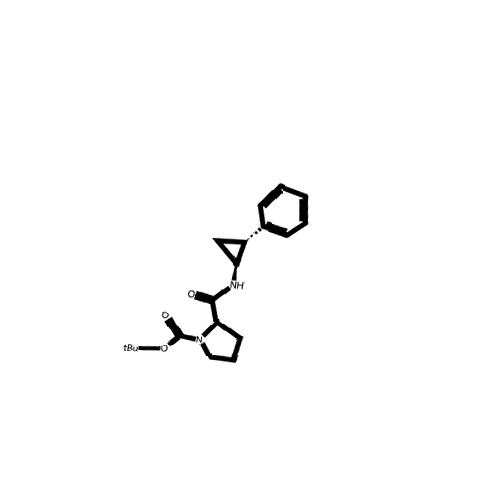 CC(C)(C)OC(=O)N1CCCC1C(=O)N[C@H]1C[C@@H]1c1ccccc1